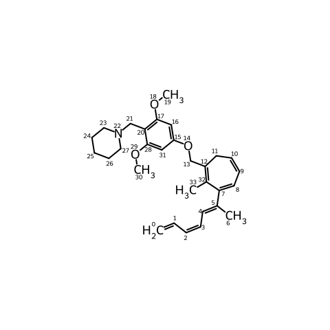 C=C/C=C\C=C(/C)C1=CC=CCC(COc2cc(OC)c(CN3CCCCC3)c(OC)c2)=C1C